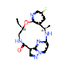 CC[C@@H]1CNC(=O)c2cnn3ccc(nc23)N[C@H](C)c2cc(F)cnc2O1